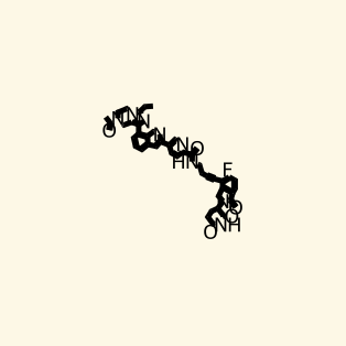 CCc1nc(-c2cccc3cc(-c4ccc(C(=O)NCCC#Cc5c(F)ccc6c5CN(C5CCC(=O)NC5=O)C6=O)nc4)ncc23)c2n1CCN(C(C)=O)C2